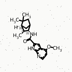 COc1ccnc2[nH]c(C(=O)N[C@H]3C4C[C@@H]([C@@H]3C)C(C)(C)C4)cc12